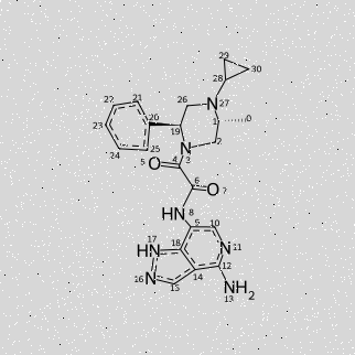 C[C@@H]1CN(C(=O)C(=O)Nc2cnc(N)c3cn[nH]c23)[C@@H](c2ccccc2)CN1C1CC1